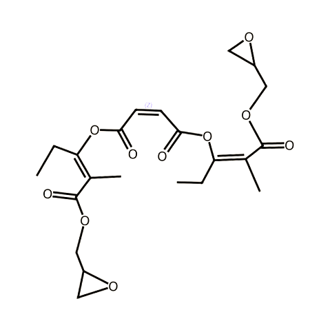 CCC(OC(=O)/C=C\C(=O)OC(CC)=C(C)C(=O)OCC1CO1)=C(C)C(=O)OCC1CO1